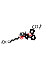 CCCCCCCCCCCCCCCCOC(C)c1ccc(-c2ccccc2C2(OCCCCCCCCCC)C=CC(C(=O)O)=CC2)cc1